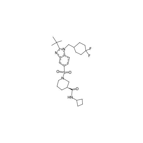 CC(C)(C)c1nc2cc(S(=O)(=O)N3CCC[C@H](C(=O)NC4CCC4)C3)ccc2n1CC1CCC(F)(F)CC1